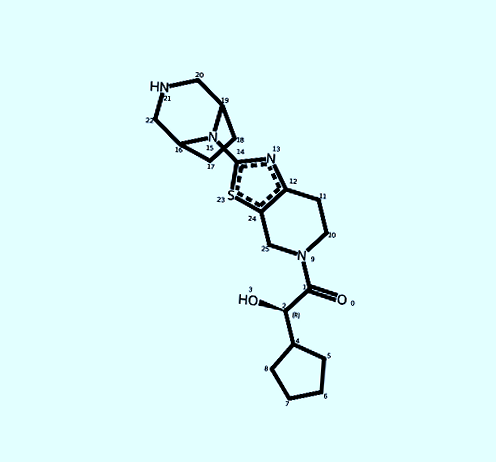 O=C([C@H](O)C1CCCC1)N1CCc2nc(N3C4CCC3CNC4)sc2C1